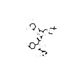 CCn1nccc1C(=O)N[C@H](c1cn2nc(C[C@H]3C[C@@H](C(F)(F)F)CNC3=O)c(CN3CCOC(C)(C)C3)nc2n1)C1CCC(F)(F)CC1